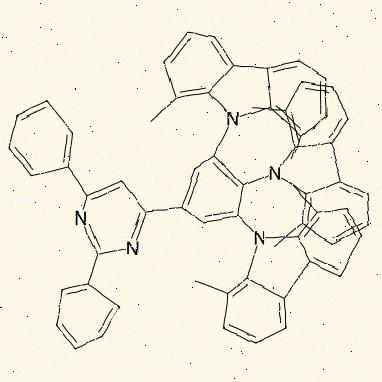 Cc1cccc2c3cccc(C)c3n(-c3cc(-c4cc(-c5ccccc5)nc(-c5ccccc5)n4)cc(-n4c5c(C)cccc5c5cccc(C)c54)c3-n3c4c(C)cccc4c4cccc(C)c43)c12